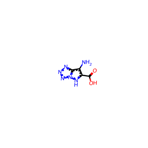 Nc1c(C(=O)O)[nH]n2nnnc12